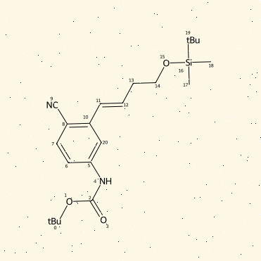 CC(C)(C)OC(=O)Nc1ccc(C#N)c(C=CCCO[Si](C)(C)C(C)(C)C)c1